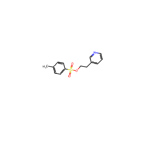 Cc1ccc(S(=O)(=O)OCCc2cccnc2)cc1